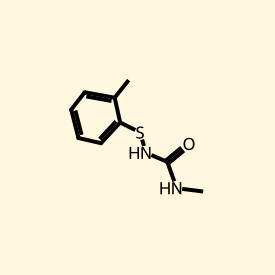 CNC(=O)NSc1ccccc1C